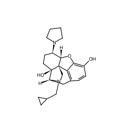 Oc1ccc2c3c1O[C@H]1[C@H](N4CCCC4)CC[C@@]4(O)[C@@H](C2)N(CC2CC2)CC[C@]314